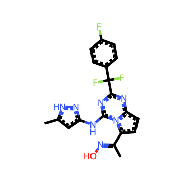 CC(=NO)c1ccc2nc(C(F)(F)c3ccc(F)cc3)nc(Nc3cc(C)[nH]n3)n12